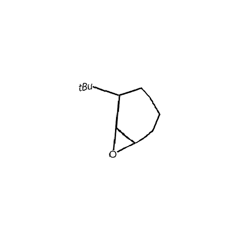 CC(C)(C)C1CCCC2OC21